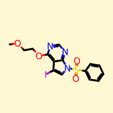 COCCOc1ncnc2c1c(I)cn2S(=O)(=O)c1ccccc1